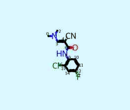 CN(C)C=C(C#N)C(=O)Nc1ccc(F)cc1Cl